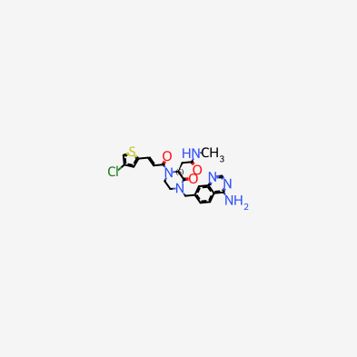 CNC(=O)C[C@H]1C(=O)N(Cc2ccc3c(N)ncnc3c2)CCN1C(=O)C=Cc1cc(Cl)cs1